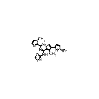 Cc1c(-c2ccn(C(C)C)n2)cn2nc(-c3nccn3C)nc(Nc3nnco3)c12